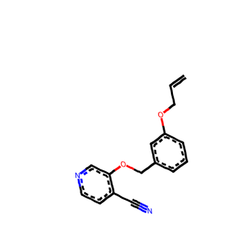 C=CCOc1cccc(COc2cnccc2C#N)c1